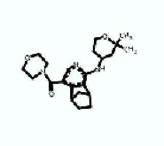 CC1(C)CC(Nc2ncc(C(=O)N3CCOCC3)c3c2C2CCC3C2)CCO1